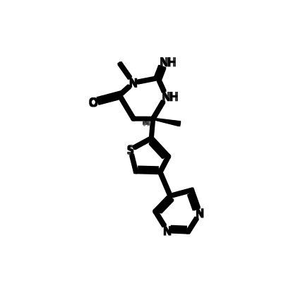 CN1C(=N)N[C@](C)(c2cc(-c3cncnc3)cs2)CC1=O